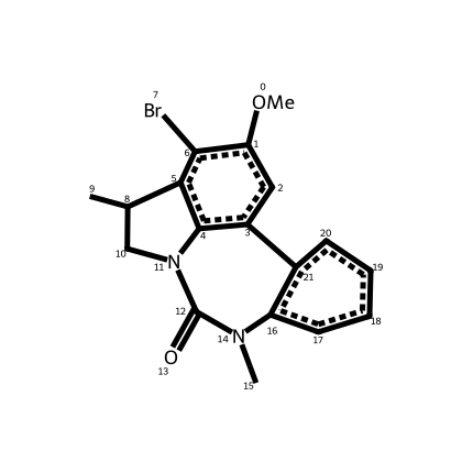 COc1cc2c3c(c1Br)C(C)CN3C(=O)N(C)c1ccccc1-2